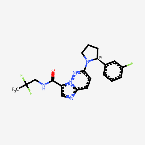 O=C(NCC(F)(F)C(F)(F)F)c1cnc2ccc(N3CCC[C@H]3c3cccc(F)c3)nn12